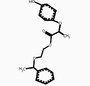 CC(Oc1ccc(O)cc1)C(=O)OCCOC(C)c1ccccc1